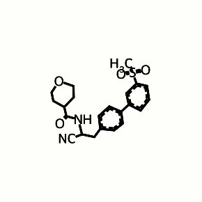 CS(=O)(=O)c1cccc(-c2ccc(CC(C#N)NC(=O)C3CCOCC3)cc2)c1